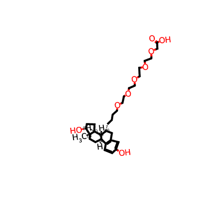 C[C@]12CC[C@@H]3c4ccc(O)cc4C[C@@H](CCCCOCCOCCOCCOCCOCC(=O)O)[C@H]3[C@@H]1CC[C@@H]2O